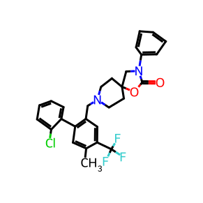 Cc1cc(-c2ccccc2Cl)c(CN2CCC3(CC2)CN(c2ccccc2)C(=O)O3)cc1C(F)(F)F